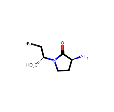 CC(C)(C)C[C@@H](C(=O)O)N1CC[C@H](N)C1=O